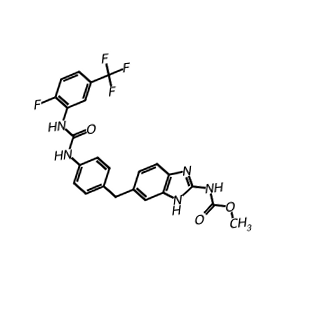 COC(=O)Nc1nc2ccc(Cc3ccc(NC(=O)Nc4cc(C(F)(F)F)ccc4F)cc3)cc2[nH]1